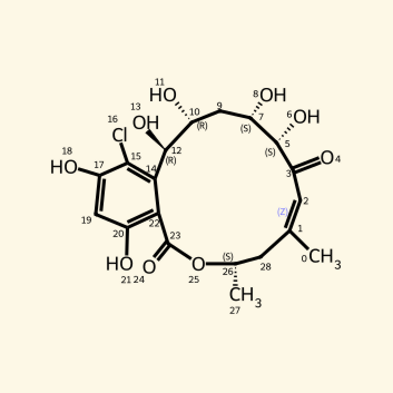 C/C1=C/C(=O)[C@@H](O)[C@@H](O)C[C@@H](O)[C@H](O)c2c(Cl)c(O)cc(O)c2C(=O)O[C@@H](C)C1